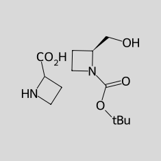 CC(C)(C)OC(=O)N1CC[C@H]1CO.O=C(O)C1CCN1